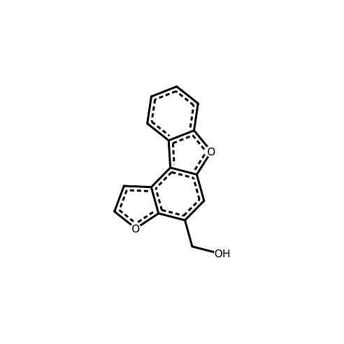 OCc1cc2oc3ccccc3c2c2ccoc12